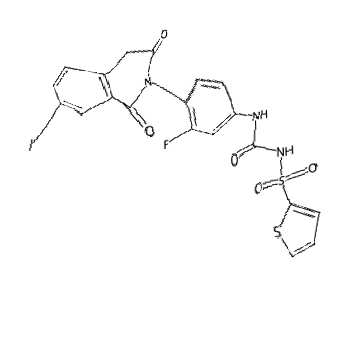 O=C(Nc1ccc(N2C(=O)Cc3ccc(I)cc3C2=O)c(F)c1)NS(=O)(=O)c1cccs1